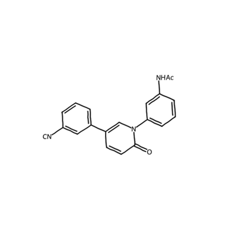 [C-]#[N+]c1cccc(-c2ccc(=O)n(-c3cccc(NC(C)=O)c3)c2)c1